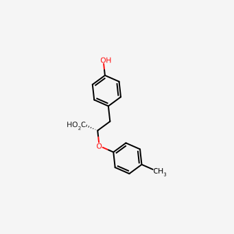 Cc1ccc(O[C@@H](Cc2ccc(O)cc2)C(=O)O)cc1